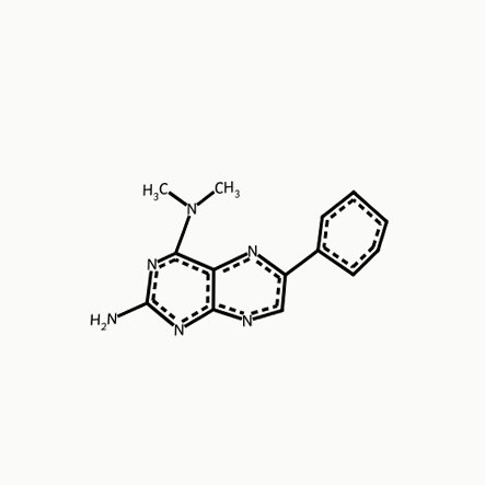 CN(C)c1nc(N)nc2ncc(-c3ccccc3)nc12